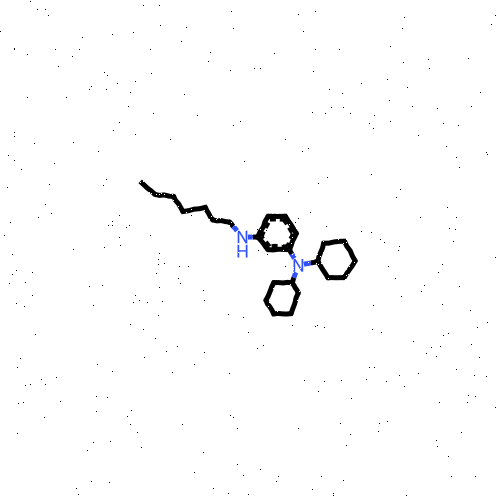 CCCCCCCNc1cccc(N(C2CCCCC2)C2CCCCC2)c1